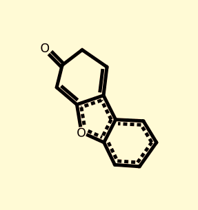 O=C1C=c2oc3ccccc3c2=CC1